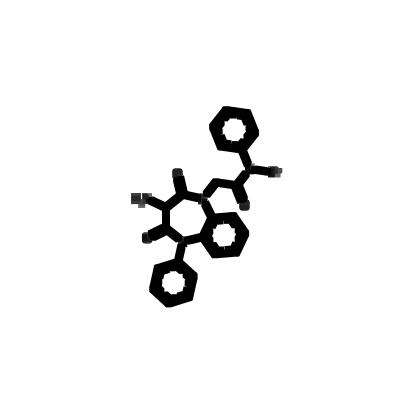 CC(C)N(C(=O)CN1C(=O)C(N)C(=O)N(c2ccccc2)c2ccccc21)c1ccccc1